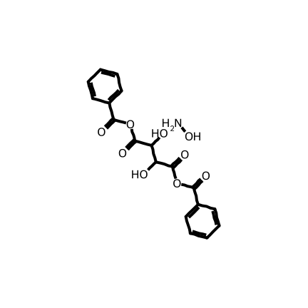 NO.O=C(OC(=O)C(O)C(O)C(=O)OC(=O)c1ccccc1)c1ccccc1